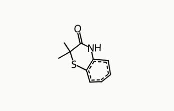 CC1(C)Sc2ccccc2NC1=O